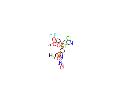 CS(=O)(=O)N(CCN1CCOCC1)Cc1ccc(C(=O)OC(Cc2c(Cl)cncc2Cl)c2ccc(OC(F)F)c(OCC3CC3)c2)cc1